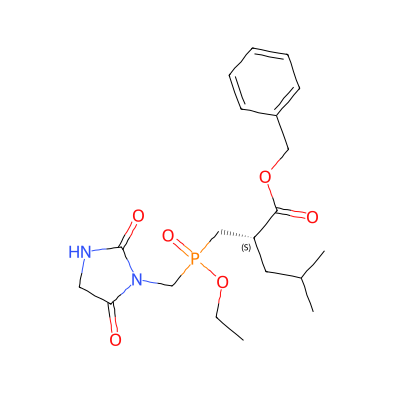 CCOP(=O)(C[C@@H](CC(C)C)C(=O)OCc1ccccc1)CN1C(=O)CNC1=O